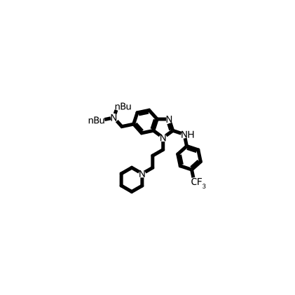 CCCCN(CCCC)Cc1ccc2nc(Nc3ccc(C(F)(F)F)cc3)n(CCCN3CCCCC3)c2c1